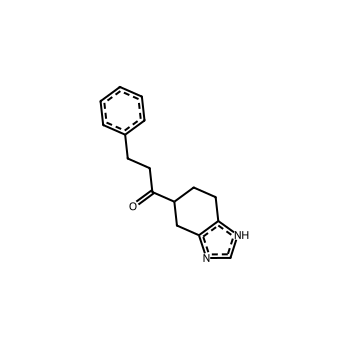 O=C(CCc1ccccc1)C1CCc2[nH]cnc2C1